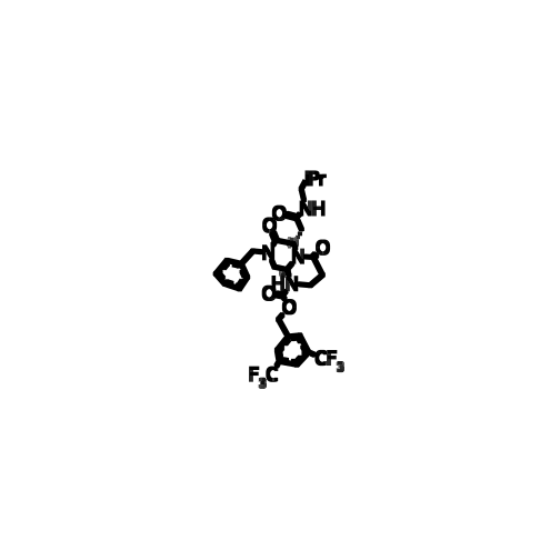 CC(C)CNC(=O)C[C@H]1C(=O)N(Cc2ccccc2)C[C@@H]2N(C(=O)OCc3cc(C(F)(F)F)cc(C(F)(F)F)c3)CCC(=O)N21